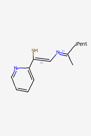 CCCC(C)/C(C)=N/C=C(\S)c1ccccn1